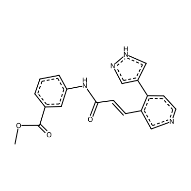 COC(=O)c1cccc(NC(=O)/C=C/c2cnccc2-c2cn[nH]c2)c1